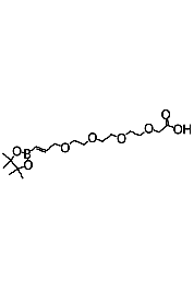 CC1(C)OB(/C=C/COCCOCCOCCOCC(=O)O)OC1(C)C